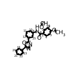 COc1ccc(C(=O)Nc2cccc(-c3nnc(-c4ccccc4)o3)c2)c(OC)c1